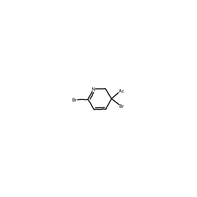 CC(=O)C1(Br)C=CC(Br)=NC1